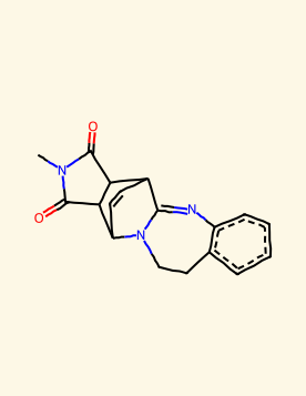 CN1C(=O)C2C3C=CC(C2C1=O)N1CCc2ccccc2N=C31